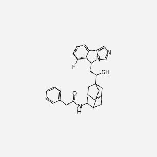 O=C(Cc1ccccc1)NC1C2CC3CC1CC(C(O)CC1c4c(F)cccc4-c4cncn41)(C3)C2